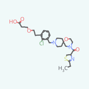 CCC1=NC(C(=O)N2CCOC3(CCN(Cc4cccc(CCOCCC(=O)O)c4Cl)CC3)C2)CS1